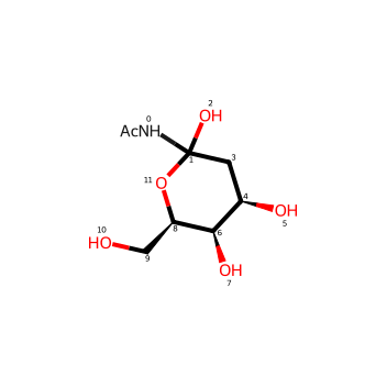 CC(=O)NC1(O)C[C@@H](O)[C@@H](O)[C@@H](CO)O1